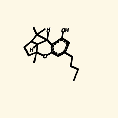 CCCCc1cc(O)c2c(c1)O[C@]1(C)CCC3[C@@H]1[C@@H]2C3(C)C